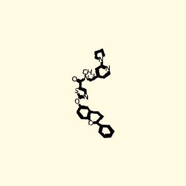 CN(Cc1ccnc(N2CCCC2)c1)C(=O)c1cnc(Oc2ccc3c(c2)CCC(c2ccccc2)O3)s1